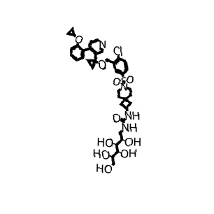 O=C(NC[C@H](O)[C@@H](O)[C@H](O)[C@H](O)CO)NC1CC2(CCN(S(=O)(=O)c3ccc(Cl)c(COC4(c5cnccc5-c5ccccc5OC5CC5)CC4)c3)CC2)C1